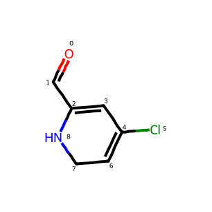 O=CC1=CC(Cl)=CCN1